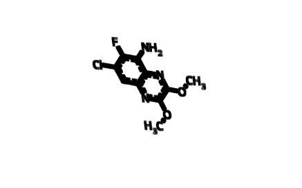 COc1nc2cc(Cl)c(F)c(N)c2nc1OC